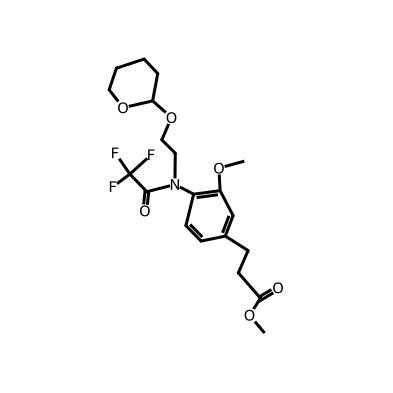 COC(=O)CCc1ccc(N(CCOC2CCCCO2)C(=O)C(F)(F)F)c(OC)c1